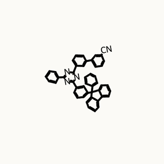 N#Cc1cccc(-c2cccc(-c3nc(-c4ccccc4)nc(-c4cccc(C5(c6ccccc6)c6ccccc6-c6ccccc65)c4)n3)c2)c1